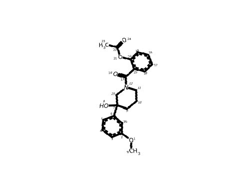 COc1cccc(C2(O)CCCN(C(=O)c3ccccc3OC(C)=O)C2)c1